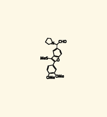 COc1ccc(-c2oc3ccc(C(C=O)N4CCCC4)cc3c2SC)cc1OC